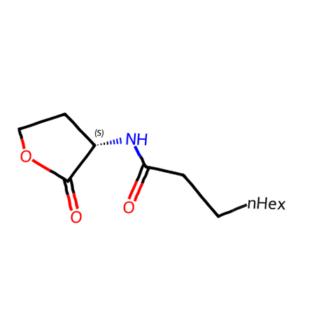 CCCCCCCCC(=O)N[C@H]1CCOC1=O